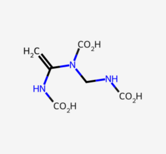 C=C(NC(=O)O)N(CNC(=O)O)C(=O)O